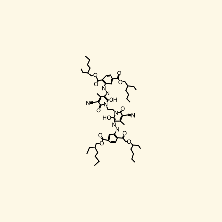 CCCCC(CC)COC(=O)c1ccc(C(=O)COC(CC)CCCC)c(/N=N/c2c(C)c(C#N)c(=O)n(CCn3c(O)c(/N=N/c4cc(C(=O)OCC(CC)CCCC)ccc4C(=O)OCC(CC)CCCC)c(C)c(C#N)c3=O)c2O)c1